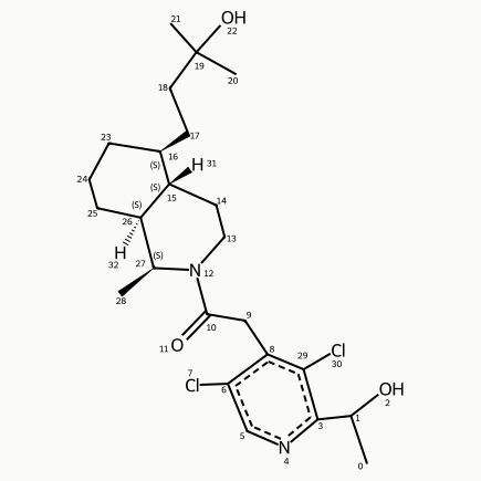 CC(O)c1ncc(Cl)c(CC(=O)N2CC[C@H]3[C@H](CCC(C)(C)O)CCC[C@@H]3[C@@H]2C)c1Cl